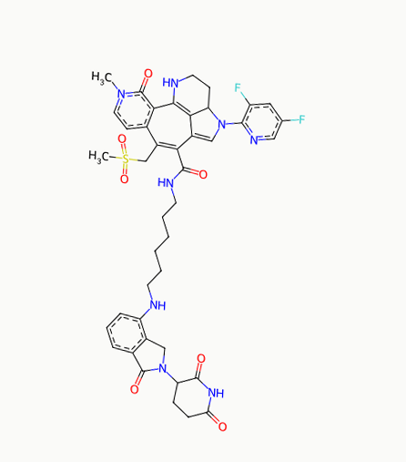 Cn1ccc2c(c1=O)C1=C3C(=CN(c4ncc(F)cc4F)C3CCN1)C(C(=O)NCCCCCCNc1cccc3c1CN(C1CCC(=O)NC1=O)C3=O)=C2CS(C)(=O)=O